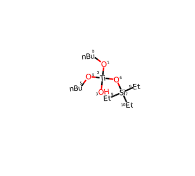 CCCC[O][Ti]([OH])([O]CCCC)[O][Si](CC)(CC)CC